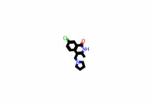 Cc1[nH]c(=O)c2cc(Cl)ccc2c1CN1CCCC1